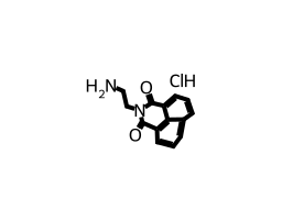 Cl.NCCN1C(=O)c2cccc3cccc(c23)C1=O